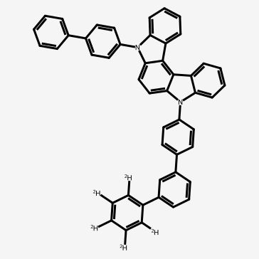 [2H]c1c([2H])c([2H])c(-c2cccc(-c3ccc(-n4c5ccccc5c5c6c7ccccc7n(-c7ccc(-c8ccccc8)cc7)c6ccc54)cc3)c2)c([2H])c1[2H]